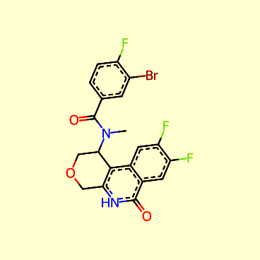 CN(C(=O)c1ccc(F)c(Br)c1)C1COCc2[nH]c(=O)c3cc(F)c(F)cc3c21